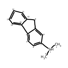 C[SiH](C)c1ccc2c(c1)[CH]c1ccccc1-2